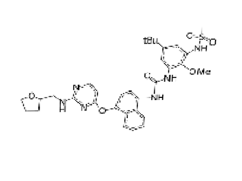 COc1c(NC(=O)Nc2ccc(Oc3ccnc(NCC4CCCO4)n3)c3ccccc23)cc(C(C)(C)C)cc1NS(C)(=O)=O